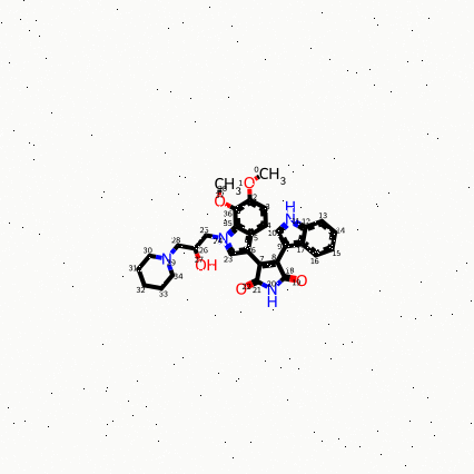 COc1ccc2c(C3=C(c4c[nH]c5ccccc45)C(=O)NC3=O)cn(CC(O)CN3CCCCC3)c2c1OC